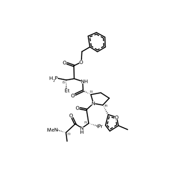 CC[C@H](P)C(NC(=O)[C@@H]1CC[C@H](c2ccc(C)o2)N1C(=O)[C@@H](NC(=O)[C@H](C)NC)C(C)C)C(=O)OCc1ccccc1